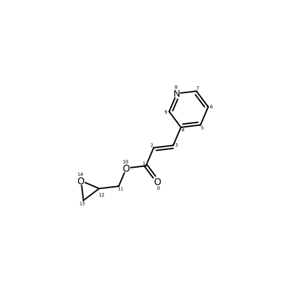 O=C(/C=C/c1cccnc1)OCC1CO1